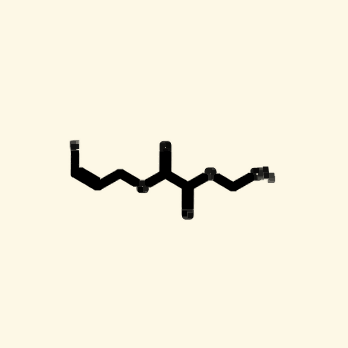 CCOC(=O)C(=O)OC/C=C\F